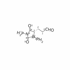 O=CCC[C@H]1C(=O)N(P)C(=O)N1P